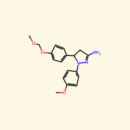 COCOc1ccc(C2CC(N)=NN2c2ccc(OC)cc2)cc1